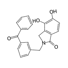 O=C(c1ccccc1)c1cccc(CN2Cc3c(ccc(O)c3O)C2=O)c1